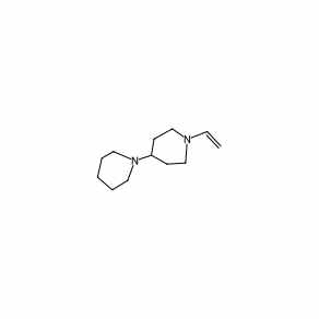 C=CN1CCC(N2CCCCC2)CC1